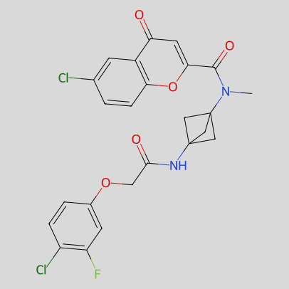 CN(C(=O)c1cc(=O)c2cc(Cl)ccc2o1)C12CC(NC(=O)COc3ccc(Cl)c(F)c3)(C1)C2